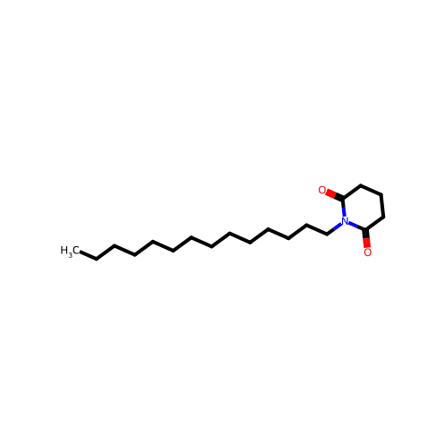 CCCCCCCCCCCCCCN1C(=O)CCCC1=O